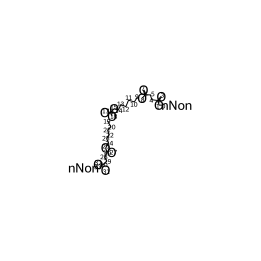 CCCCCCCCCOC(=O)CCC(=O)OCCCCCCOC(=O)OCCCCCCOC(=O)CCC(=O)OCCCCCCCCC